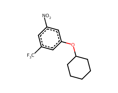 O=[N+]([O-])c1cc(OC2CCCCC2)cc(C(F)(F)F)c1